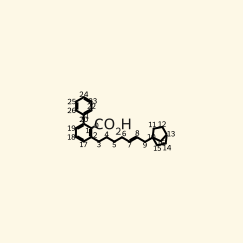 O=C(O)c1c(CCCCC=CCC23CCC(CC2)C3)cccc1-c1ccccc1